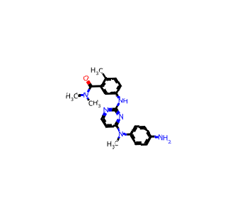 Cc1ccc(Nc2nccc(N(C)c3ccc(N)cc3)n2)cc1C(=O)N(C)C